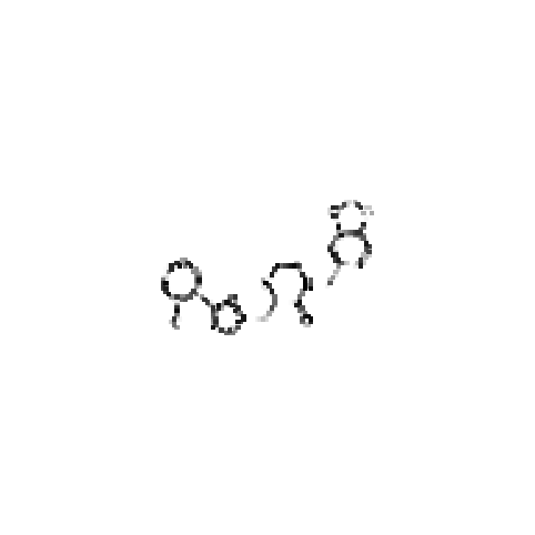 O=C1C(Cc2ccc(-c3ccccc3Cl)o2)SCSN1Cc1ccc2c(c1)OCO2